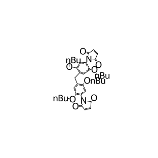 CCCCOc1cc(N2C(=O)C=CC2=O)c(OCCCC)cc1Cc1cc(OCCCC)c(N2C(=O)C=CC2=O)cc1OCCCC